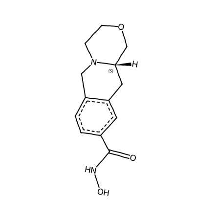 O=C(NO)c1ccc2c(c1)C[C@H]1COCCN1C2